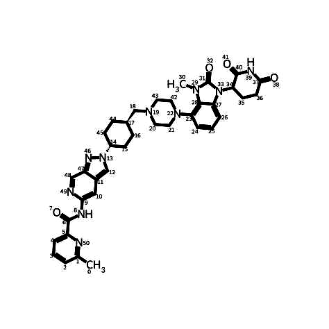 Cc1cccc(C(=O)Nc2cc3cn([C@H]4CC[C@H](CN5CCN(c6cccc7c6n(C)c(=O)n7C6CCC(=O)NC6=O)CC5)CC4)nc3cn2)n1